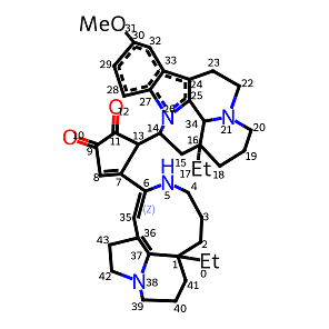 CCC12CCCN/C(C3=CC(=O)C(=O)C3C3CC4(CC)CCCN5CCc6c(n3c3ccc(OC)cc63)C54)=C\C3=C1N(CCC2)CC3